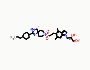 Cc1cc2c(ccn2C[C@@H](O)CO)c(C)c1CCS(=O)(=O)N1CCC2(CC1)N=C(C1CCC(CCC(F)(F)F)CC1)NC2=O